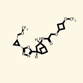 O=C(COC1CC(OC(F)(F)F)C1)N[C@H]1C[C@@H](c2nnc([C@@H]3C[C@@H]3COC(F)(F)F)o2)C2CC1C2